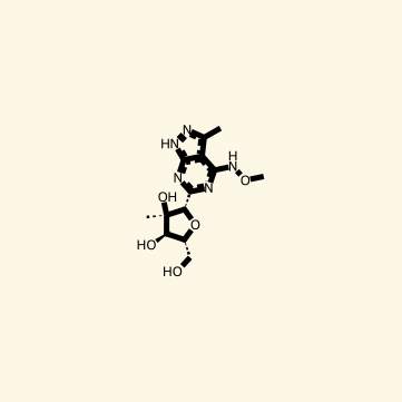 CONc1nc([C@@H]2O[C@H](CO)[C@@H](O)[C@@]2(C)O)nc2[nH]nc(C)c12